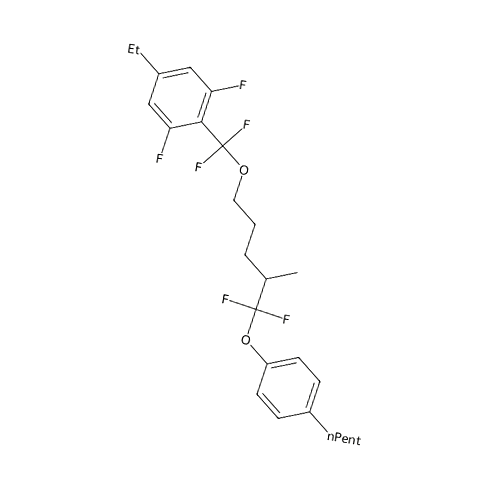 CCCCCc1ccc(OC(F)(F)C(C)CCCOC(F)(F)c2c(F)cc(CC)cc2F)cc1